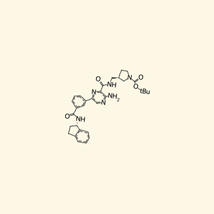 CC(C)(C)OC(=O)N1CC[C@H](CNC(=O)c2nc(-c3cccc(C(=O)N[C@H]4CCc5ccccc54)c3)cnc2N)C1